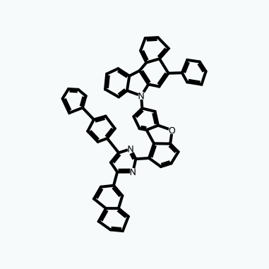 c1ccc(-c2ccc(-c3cc(-c4ccc5ccccc5c4)nc(-c4cccc5oc6cc(-n7c8ccccc8c8c9ccccc9c(-c9ccccc9)cc87)ccc6c45)n3)cc2)cc1